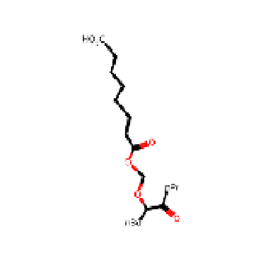 CCCCC(OCOC(=O)CCCCCCC(=O)O)C(=O)CCC